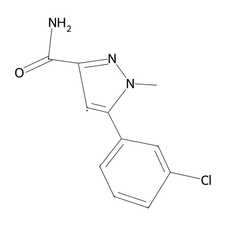 Cn1nc(C(N)=O)[c]c1-c1cccc(Cl)c1